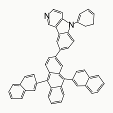 C1=CCCC(n2c3ccncc3c3cc(-c4ccc5c(-c6ccc7ccccc7c6)c6ccccc6c(-c6ccc7ccccc7c6)c5c4)ccc32)=C1